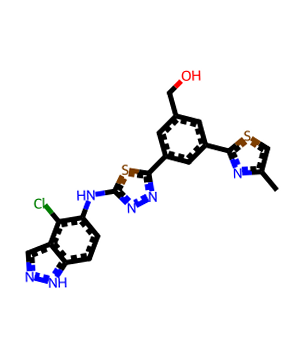 Cc1csc(-c2cc(CO)cc(-c3nnc(Nc4ccc5[nH]ncc5c4Cl)s3)c2)n1